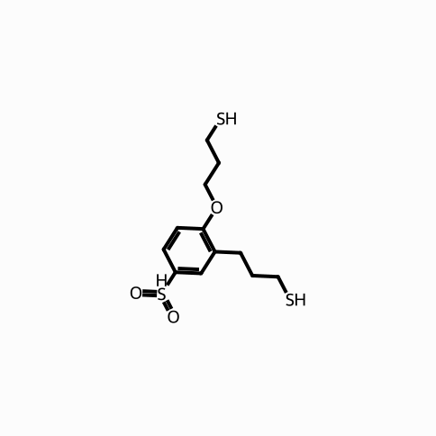 O=[SH](=O)c1ccc(OCCCS)c(CCCS)c1